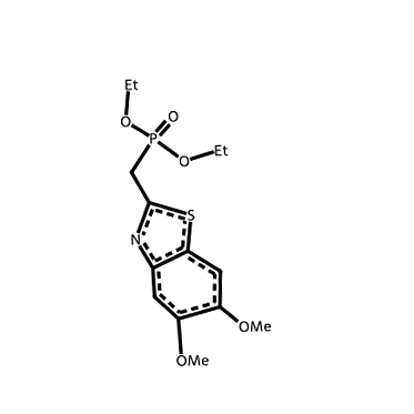 CCOP(=O)(Cc1nc2cc(OC)c(OC)cc2s1)OCC